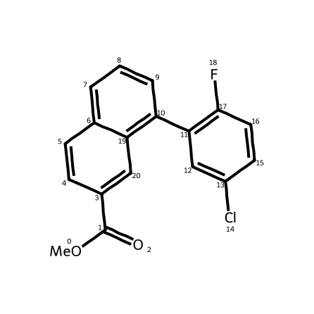 COC(=O)c1ccc2cccc(-c3cc(Cl)ccc3F)c2c1